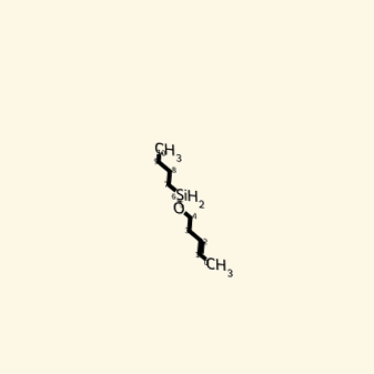 CC=CCCO[SiH2]CCCC